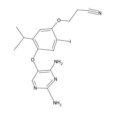 CC(C)c1cc(OCCC#N)c(I)cc1Oc1cnc(N)nc1N